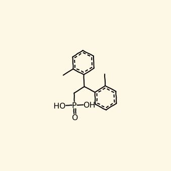 Cc1ccccc1C(CP(=O)(O)O)c1ccccc1C